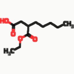 CCCCCC(CC(=O)O)C(=O)OCC